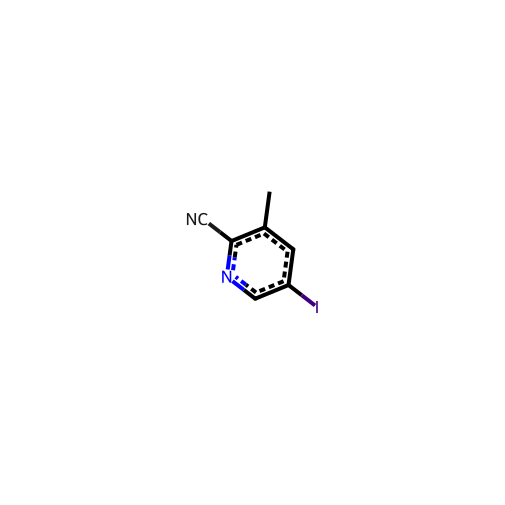 Cc1cc(I)cnc1C#N